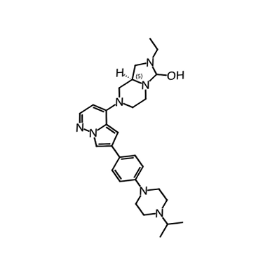 CCN1C[C@@H]2CN(c3ccnn4cc(-c5ccc(N6CCN(C(C)C)CC6)cc5)cc34)CCN2C1O